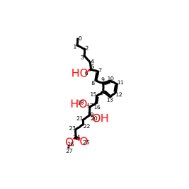 CCCCCC(O)C=Cc1ccccc1C=C[C@@H](O)[C@@H](O)CCCC(=O)OC